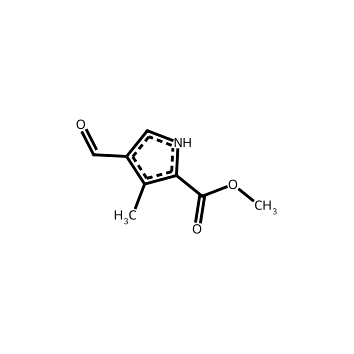 COC(=O)c1[nH]cc(C=O)c1C